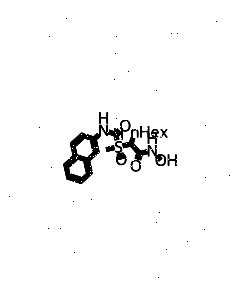 CCCCCCC(C(=O)NO)[SH](C)(=O)C(=O)Nc1ccc2ccccc2c1